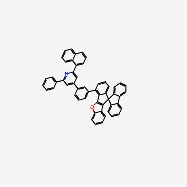 c1ccc(-c2cc(-c3cccc(-c4cccc5c4-c4oc6ccccc6c4C54c5ccccc5-c5ccccc54)c3)cc(-c3cccc4ccccc34)n2)cc1